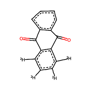 [2H]c1c([2H])c([2H])c2c(c1[2H])C(=O)c1ccccc1C2=O